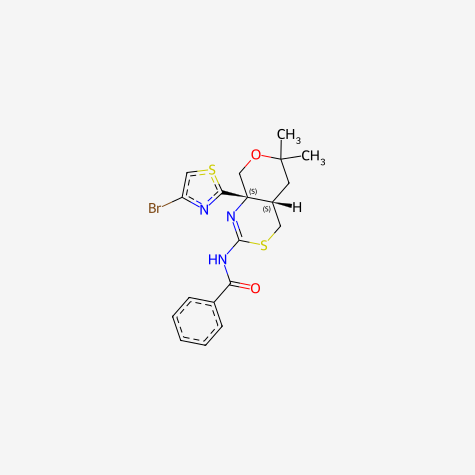 CC1(C)C[C@@H]2CSC(NC(=O)c3ccccc3)=N[C@]2(c2nc(Br)cs2)CO1